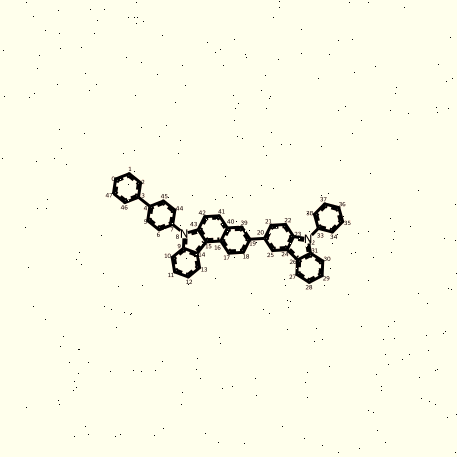 c1ccc(-c2ccc(-n3c4ccccc4c4c5ccc(-c6ccc7c(c6)c6ccccc6n7-c6ccccc6)cc5ccc43)cc2)cc1